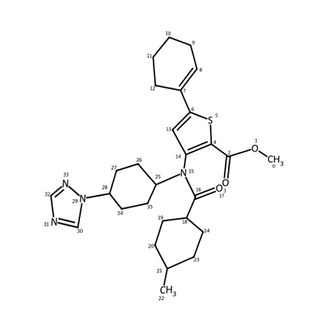 COC(=O)c1sc(C2=CCCCC2)cc1N(C(=O)C1CCC(C)CC1)C1CCC(n2cncn2)CC1